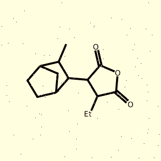 CCC1C(=O)OC(=O)C1C1C2CCC(C2)C1C